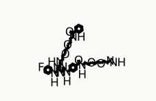 N=NCCOCCOCCNC(=O)c1ccc(Nc2nc(NCCOCCOCCNC(=O)c3ccccc3)nc(Nc3ccc(F)cc3)n2)cc1